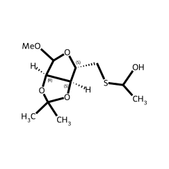 COC1O[C@H](CSC(C)O)[C@H]2OC(C)(C)O[C@@H]12